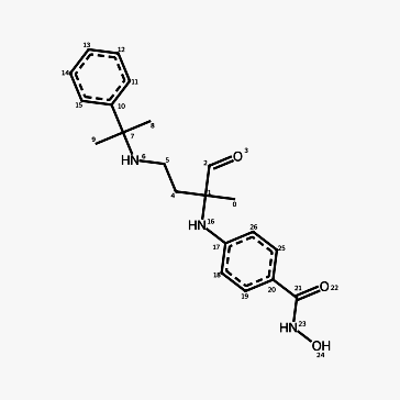 CC(C=O)(CCNC(C)(C)c1ccccc1)Nc1ccc(C(=O)NO)cc1